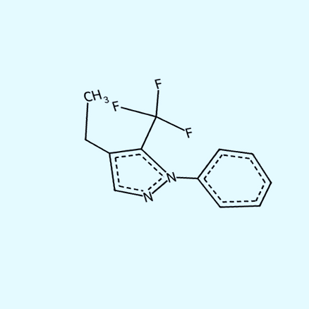 CCc1cnn(-c2ccccc2)c1C(F)(F)F